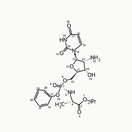 CC(C)OC(=O)[C@H](C)N[P@](=O)(OC[C@H]1O[C@@H](n2ccc(=O)[nH]c2=O)[C@H](N)[C@@H]1O)Oc1ccccc1